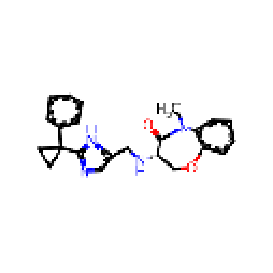 CN1C(=O)[C@@H](NCc2cnc(C3(c4ccccc4)CC3)[nH]2)COc2ccccc21